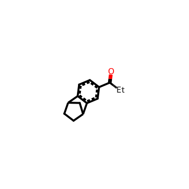 CCC(=O)c1ccc2c(c1)C1CCC2C1